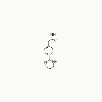 [NH]C(=O)Cc1ccc(C2=NCCCN2)cc1